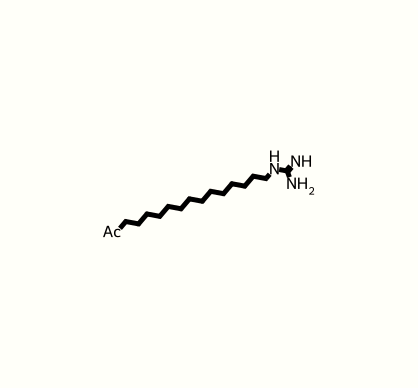 CC(=O)CCCCCCCCCCCCCCNC(=N)N